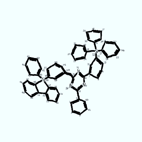 c1ccc(-c2nc(-c3cccc([Si](c4ccccc4)(c4ccccc4)c4ccccc4)c3)nc(-c3cccc([Si]4(c5ccccc5)c5ccccc5-c5ccccc54)c3)n2)cc1